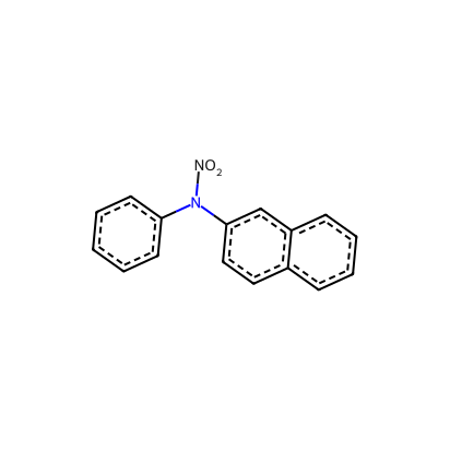 O=[N+]([O-])N(c1ccccc1)c1ccc2ccccc2c1